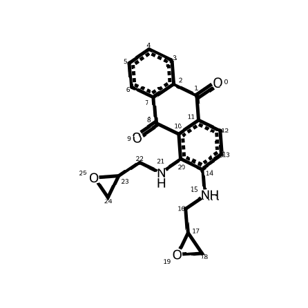 O=C1c2ccccc2C(=O)c2c1ccc(NCC1CO1)c2NCC1CO1